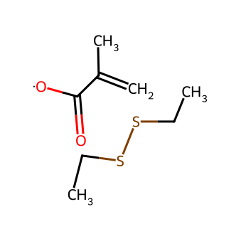 C=C(C)C([O])=O.CCSSCC